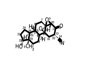 C[C@]12CC[C@H]3[C@@H](CC[C@@]45O[C@@H]4C(=O)[C@H](C#N)C[C@]35C)[C@@H]1CC[C@H]2O